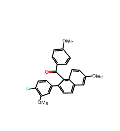 COc1ccc(C(=O)c2c(-c3ccc(F)c(OC)c3)ccc3cc(OC)ccc23)cc1